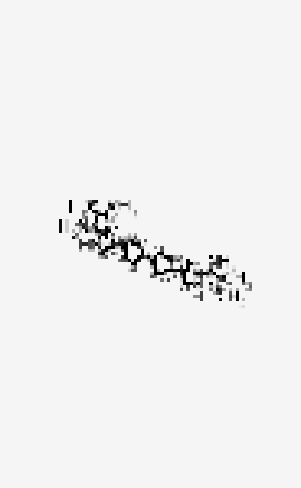 CO[C@H](C)[C@H](N)c1nc(-c2ccc(-c3ccc(-c4c[nH]c([C@@H](N)[C@@H](C)OC)n4)cc3)cc2)c[nH]1